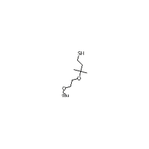 CC(C)(C)OCCOC(C)(C)CCS